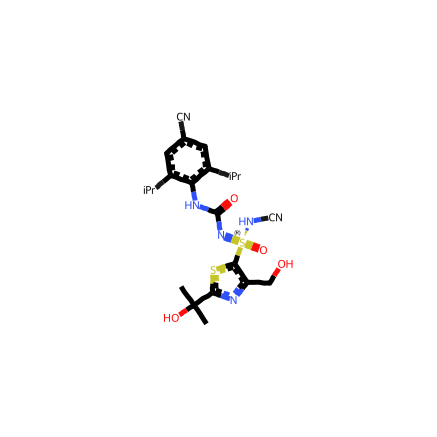 CC(C)c1cc(C#N)cc(C(C)C)c1NC(=O)N=[S@](=O)(NC#N)c1sc(C(C)(C)O)nc1CO